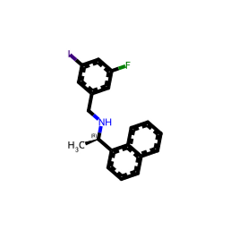 C[C@@H](NCc1cc(F)cc(I)c1)c1cccc2ccccc12